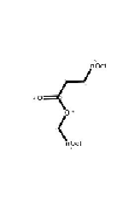 CCCCCCCCCCC(=O)OCCCCCCCCC